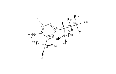 Nc1c(I)cc([C@@](F)(C(F)(F)F)C(F)(F)C(F)(F)F)cc1C(F)(F)F